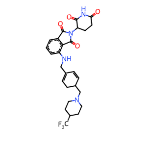 O=C1CCC(N2C(=O)c3cccc(NCC4=CCC(CN5CCC(C(F)(F)F)CC5)C=C4)c3C2=O)C(=O)N1